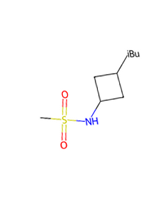 CCC(C)C1CC(NS(C)(=O)=O)C1